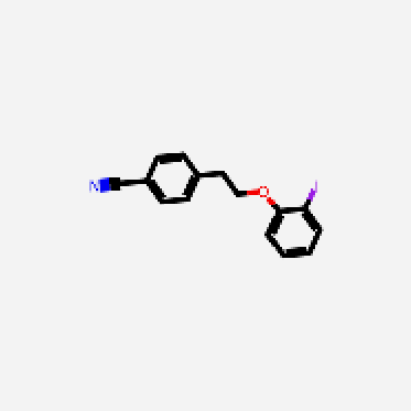 N#Cc1ccc(CCOc2ccccc2I)cc1